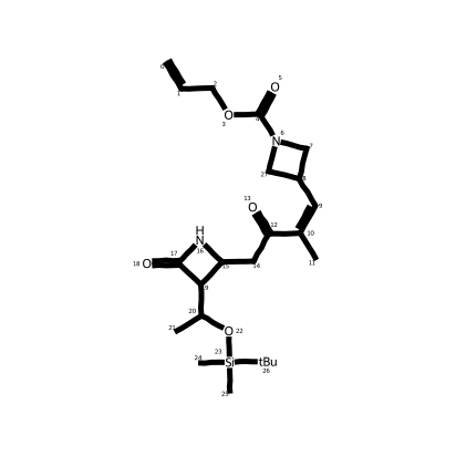 C=CCOC(=O)N1CC(C=C(C)C(=O)CC2NC(=O)C2C(C)O[Si](C)(C)C(C)(C)C)C1